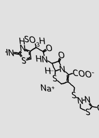 CC1=NN(SCC2=C(C(=O)[O-])N3C(=O)C(NC(=O)C(c4csc(=N)[nH]4)S(=O)(=O)O)[C@@H]3SC2)CS1.[Na+]